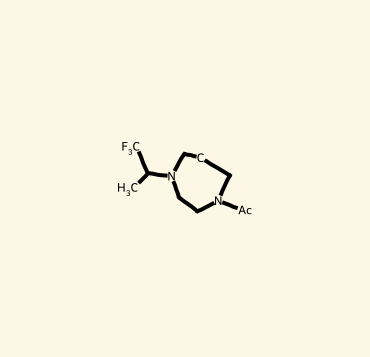 CC(=O)N1CCCN(C(C)C(F)(F)F)CC1